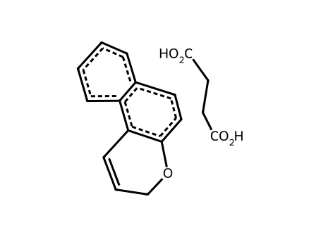 C1=Cc2c(ccc3ccccc23)OC1.O=C(O)CCC(=O)O